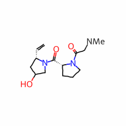 C=C[C@H]1CC(O)CN1C(=O)[C@H]1CCCN1C(=O)CNC